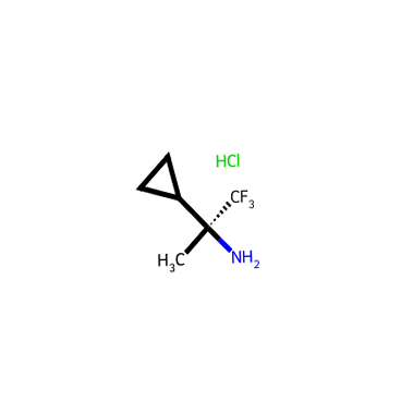 C[C@](N)(C1CC1)C(F)(F)F.Cl